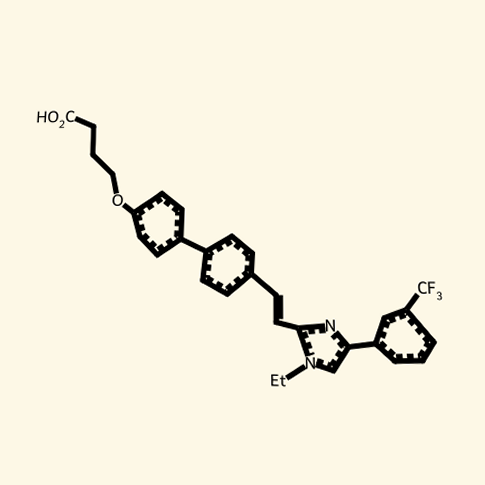 CCn1cc(-c2cccc(C(F)(F)F)c2)nc1C=Cc1ccc(-c2ccc(OCCCC(=O)O)cc2)cc1